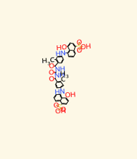 Cc1cc(Nc2cccc3c(S(=O)(=O)O)ccc(O)c23)ccc1C(=O)NC(=O)NC(=O)c1ccc(Nc2cccc3c(S(=O)(=O)O)ccc(O)c23)cc1C